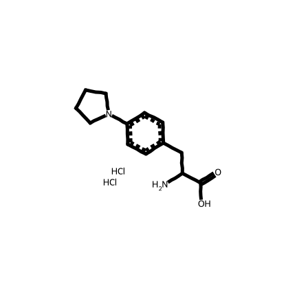 Cl.Cl.NC(Cc1ccc(N2CCCC2)cc1)C(=O)O